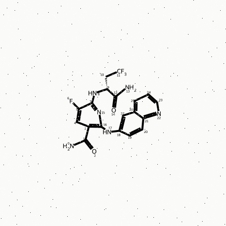 NC(=O)c1cc(F)c(N[C@H](CC(F)(F)F)C(N)=O)nc1Nc1ccc2ncccc2c1